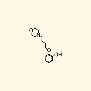 Oc1ccccc1OCCCCN1CCOCC1